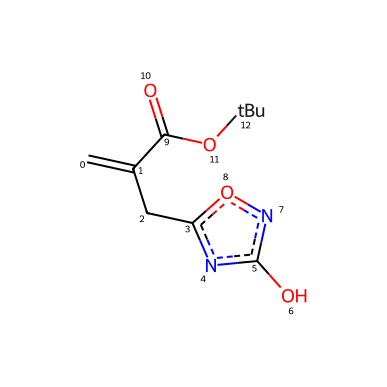 C=C(Cc1nc(O)no1)C(=O)OC(C)(C)C